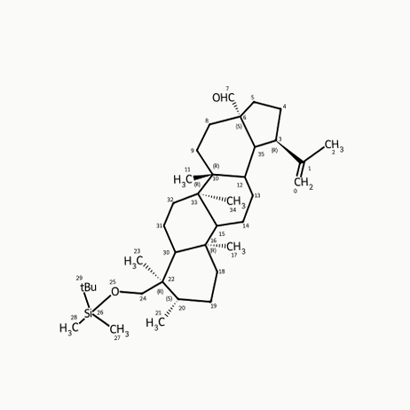 C=C(C)[C@@H]1CC[C@]2(C=O)CC[C@]3(C)C(CCC4[C@@]5(C)CC[C@H](C)[C@@](C)(CO[Si](C)(C)C(C)(C)C)C5CC[C@]43C)C12